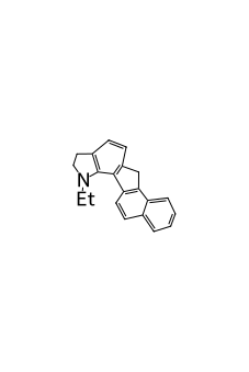 CCN1CCc2ccc3c(c21)-c1ccc2ccccc2c1C3